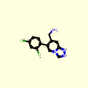 NCc1cc2nncn2cc1-c1ccc(Cl)cc1Cl